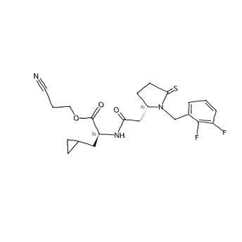 N#CCCOC(=O)[C@H](CC1CC1)NC(=O)C[C@@H]1CCC(=S)N1Cc1cccc(F)c1F